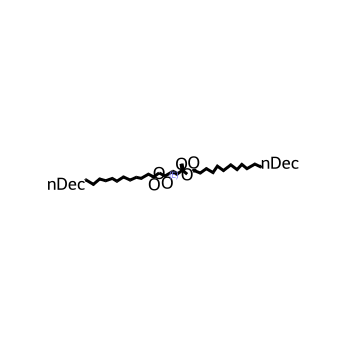 CCCCCCCCCCCCCCCCCCCCCC(=O)OC(=O)/C=C/C(=O)OC(=O)CCCCCCCCCCCCCCCCCCCCC